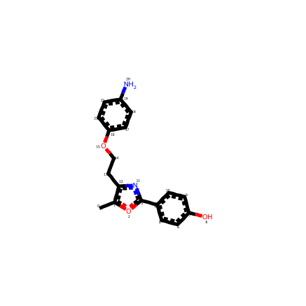 Cc1oc(-c2ccc(O)cc2)nc1CCOc1ccc(N)cc1